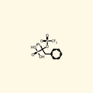 CC(C)C(Cc1ccccc1)(OS(=O)(=O)C(F)(F)F)P(=O)(O)O